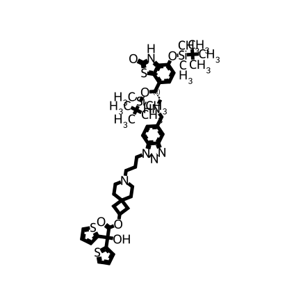 CC(C)(C)[Si](C)(C)Oc1ccc([C@H](CNCc2ccc3c(c2)nnn3CCCN2CCC3(CC2)CC(OC(=O)C(O)(c2cccs2)c2cccs2)C3)O[Si](C)(C)C(C)(C)C)c2sc(=O)[nH]c12